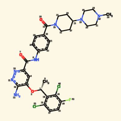 C[C@@H](Oc1cc(C(=O)Nc2ccc(C(=O)N3CCC(N4CCN(C)CC4)CC3)cc2)nnc1N)c1c(Cl)ccc(F)c1Cl